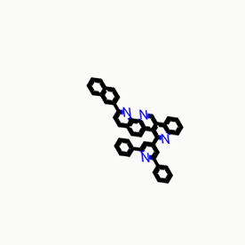 c1ccc(-c2cc(-c3nc4ccccc4c4cnc5c(ccc6ccc(-c7ccc8ccccc8c7)nc65)c34)cc(-c3ccccc3)n2)cc1